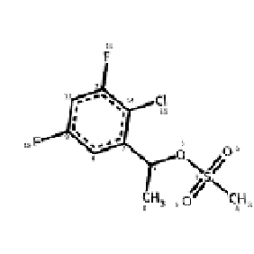 CC(OS(C)(=O)=O)c1cc(F)cc(F)c1Cl